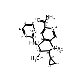 CC(=O)N1c2cnc(C(N)=O)cc2[C@H](Nc2ncccn2)[C@@H](C)C1C1CC1